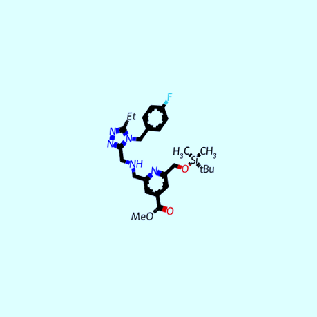 CCc1nnc(CNCc2cc(C(=O)OC)cc(CO[Si](C)(C)C(C)(C)C)n2)n1Cc1ccc(F)cc1